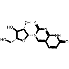 O=c1ccc2cn([C@@H]3O[C@H](CO)C(O)[C@@H]3O)c(=S)nc2[nH]1